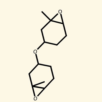 CC12CC(OC3CCC4OC4(C)C3)CCC1O2